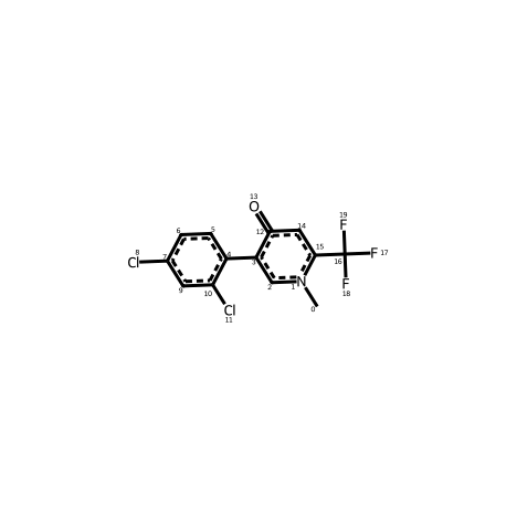 Cn1cc(-c2ccc(Cl)cc2Cl)c(=O)cc1C(F)(F)F